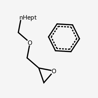 CCCCCCCCOCC1CO1.c1ccccc1